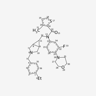 CCc1ccc(CN2CC3C(C2)C3CN(C(=O)c2sccc2C)c2ccc(N3CCOCC3)c(F)c2)cc1